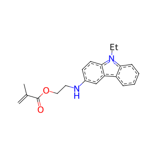 C=C(C)C(=O)OCCNc1ccc2c(c1)c1ccccc1n2CC